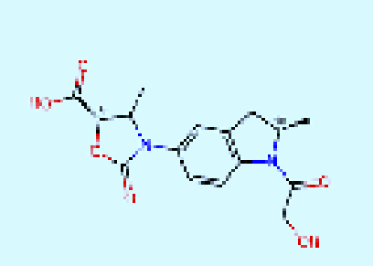 CC1[C@H](C(=O)O)OC(=O)N1c1ccc2c(c1)C[C@@H](C)N2C(=O)CO